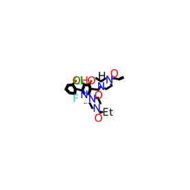 C=CC(=O)N1CCN2C(=O)c3c(N4CCN(C(=O)CC)C[C@@H]4C)nc(-c4c(O)cccc4F)c(Cl)c3OC[C@H]2C1